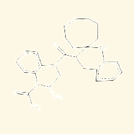 CC(=O)N1c2ccccc2N(C(=O)C2Cc3ccccc3NC23CCCCCCC3)C[C@@H]1C